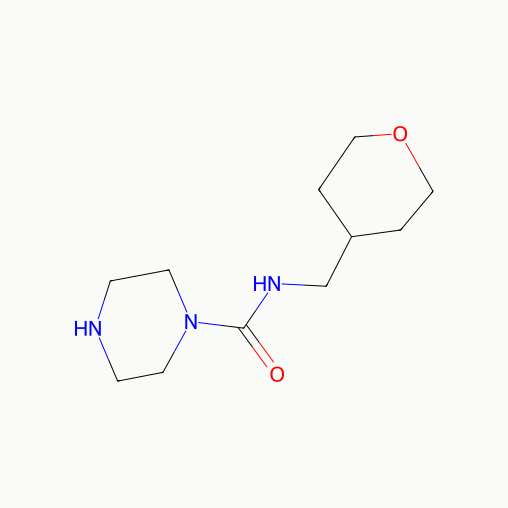 O=C(NCC1CCOCC1)N1CCNCC1